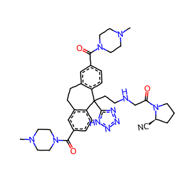 CN1CCN(C(=O)c2ccc3c(c2)CCc2cc(C(=O)N4CCN(C)CC4)ccc2C3(CCNCC(=O)N2CCC[C@H]2C#N)c2nnn[nH]2)CC1